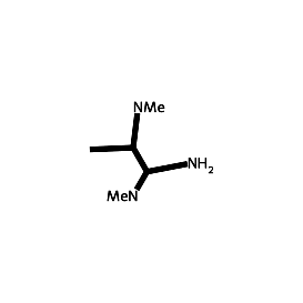 CNC(C)C(N)NC